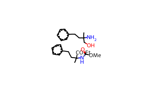 CC(N)(CO)CCc1ccccc1.CCOC(=O)C(C)(CCc1ccccc1)NC(=O)OC